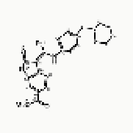 CCC(Nc1ccc(CN2CCCCC2)cc1)=C1C(=O)Nc2cc(C(=O)OC)ccc21